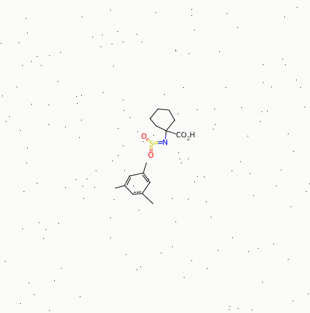 Cc1cc(C)cc(C)c1.O=C(O)C1(N=S(=O)=O)CCCCC1